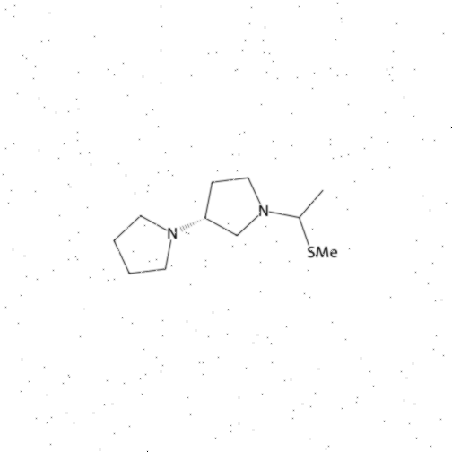 CSC(C)N1CC[C@@H](N2CCCC2)C1